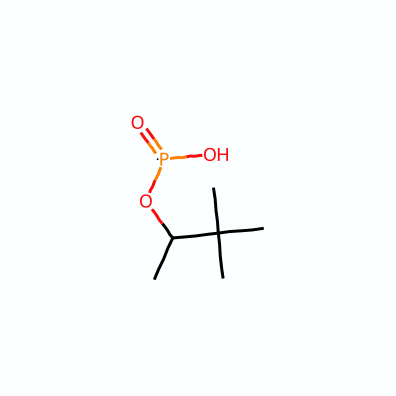 CC(O[P](=O)O)C(C)(C)C